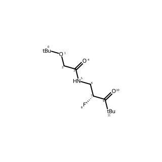 CC(C)(C)OCC(=O)NC[C@@H](F)C(=O)C(C)(C)C